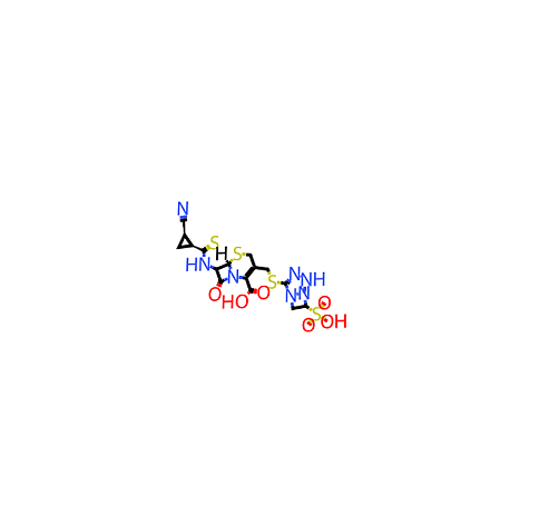 N#C[C@@H]1C[C@@H]1C(=S)NC1C(=O)N2C(C(=O)O)=C(CSC3=NNN4C(S(=O)(=O)O)CN34)CS[C@@H]12